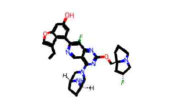 CCc1coc2cc(O)cc(-c3ncc4c(N5C[C@H]6CC[C@@H](C5)N6)nc(OC[C@@]56CCCN5C[C@H](F)C6)nc4c3F)c12